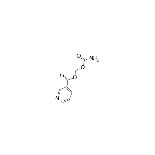 NC(=O)OCOC(=O)c1cccnc1